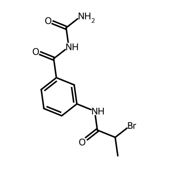 CC(Br)C(=O)Nc1cccc(C(=O)NC(N)=O)c1